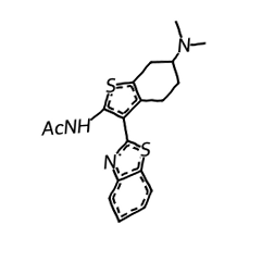 CC(=O)Nc1sc2c(c1-c1nc3ccccc3s1)CCC(N(C)C)C2